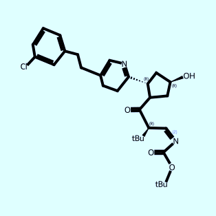 CC(C)(C)OC(=O)/N=C\[C@H](C(=O)C1C[C@H](O)C[C@H]1C1=NC=C(CCc2cccc(Cl)c2)CC1)C(C)(C)C